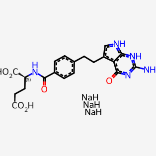 Nc1nc(=O)c2c(CCc3ccc(C(=O)N[C@@H](CCC(=O)O)C(=O)O)cc3)c[nH]c2[nH]1.[NaH].[NaH].[NaH]